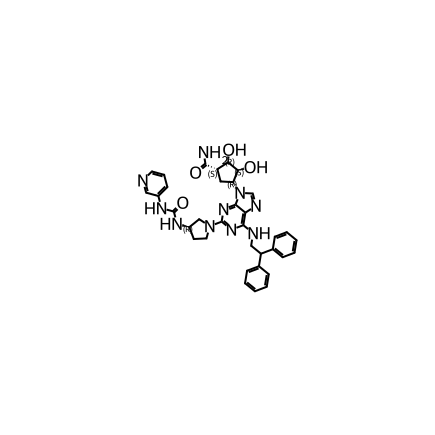 NC(=O)[C@H]1C[C@@H](n2cnc3c(NCC(c4ccccc4)c4ccccc4)nc(N4CC[C@@H](NC(=O)Nc5cccnc5)C4)nc32)[C@H](O)[C@@H]1O